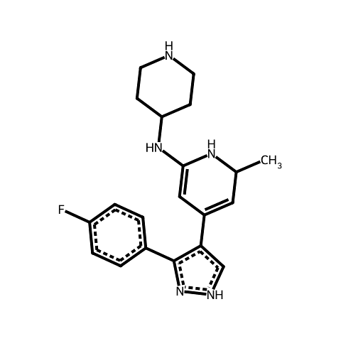 CC1C=C(c2c[nH]nc2-c2ccc(F)cc2)C=C(NC2CCNCC2)N1